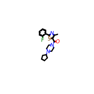 Cc1nc(-c2ccccc2F)sc1C(=O)N1CCN(C2CCCC2)CC1